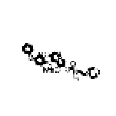 COc1c(OC(=O)NCCN2CCOCC2)cn2ncc(C#N)c(Nc3ccc(Oc4ccccc4)cc3)c12